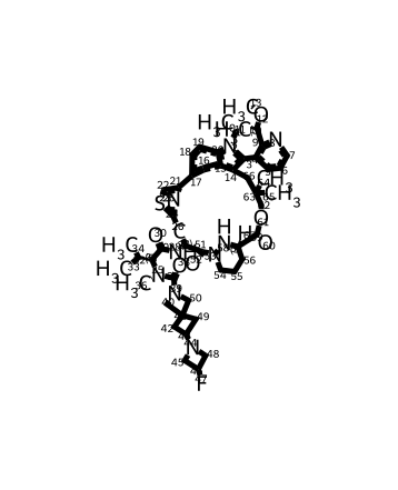 CCn1c(-c2cccnc2[C@H](C)OC)c2c3cc(ccc31)-c1csc(n1)C[C@H](NC(=O)[C@H](C(C)C)N(C)C(=O)N1CC3(CC(N4CC(F)C4)C3)C1)C(=O)N1CCC[C@H](N1)C(=O)OCC(C)(C)C2